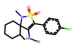 CCNC1=C(c2ccc(Cl)cc2)S(=O)(=O)N(C)C12CCCCC2C